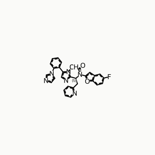 Cn1c(-c2ccccc2-n2ccnc2)cnc1[C@H](Cc1ccccn1)N(C=O)c1cc2cc(F)ccc2o1